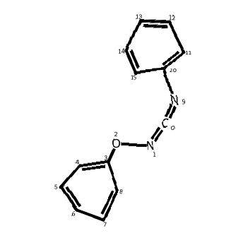 C(=NOc1ccccc1)=Nc1ccccc1